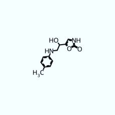 Cc1ccc(NCC(O)c2c[nH]c(=O)o2)cc1